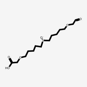 O=CCOCCCCC[S+]([O-])CCCCCOCC(=O)O